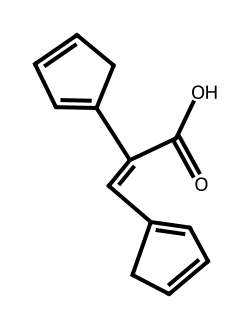 O=C(O)C(=CC1=CC=CC1)C1=CC=CC1